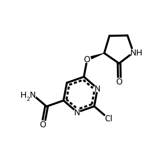 NC(=O)c1cc(O[C@H]2CCNC2=O)nc(Cl)n1